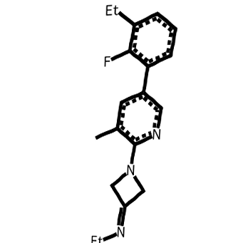 CCN=C1CN(c2ncc(-c3cccc(CC)c3F)cc2C)C1